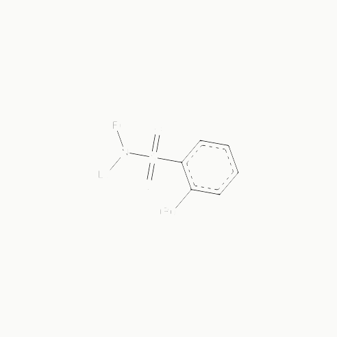 CCN(CC)S(=O)(=O)c1ccccc1C(C)(C)C